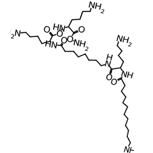 NCCCCCCCCCCCC(=O)NC(CCCCN)C(=O)NCCCCCCCC(=O)NC(CCCCN)C(=O)ONC(CCCCN)C(=O)ON